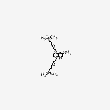 CN(C)CCCOCCN1CCN(CCOCCCN(C)C)c2ncc(N)cc21